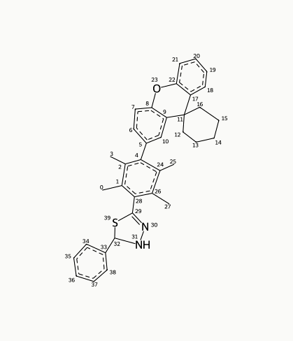 Cc1c(C)c(-c2ccc3c(c2)C2(CCCCC2)c2ccccc2O3)c(C)c(C)c1C1=NNC(c2ccccc2)S1